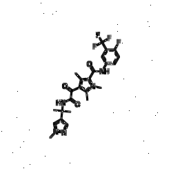 Cc1c(C(=O)C(=O)NC(C)(C)c2cnn(C)c2)c(C)n(C)c1C(=O)Nc1ccc(F)c(C(F)(F)F)c1